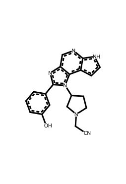 N#CCN1CCC(n2c(-c3cccc(O)c3)nc3cnc4[nH]ccc4c32)C1